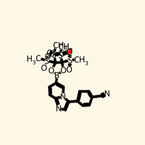 CS(=O)(=O)C1(S(C)(=O)=O)OB(c2ccc3ncc(-c4ccc(C#N)cc4)n3c2)OC1(S(C)(=O)=O)S(C)(=O)=O